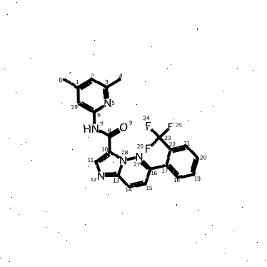 Cc1cc(C)nc(NC(=O)c2cnc3ccc(-c4ccccc4C(F)(F)F)nn23)c1